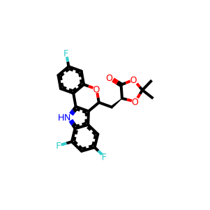 CC1(C)OC(=O)[C@H](CC2Oc3cc(F)ccc3-c3[nH]c4c(F)cc(F)cc4c32)O1